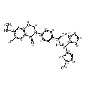 CNc1cc2c(cc1F)C(=O)N(c1ccc(C(=O)NC(c3ccc(Cl)s3)c3nccs3)cc1)CO2